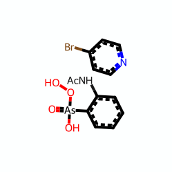 Brc1ccncc1.CC(=O)Nc1ccccc1[As](=O)(O)OO